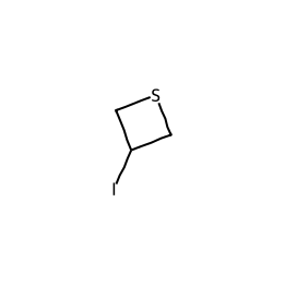 IC1CSC1